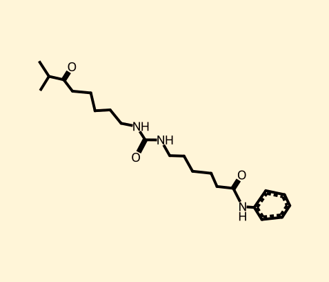 CC(C)C(=O)CCCCCNC(=O)NCCCCCC(=O)Nc1ccccc1